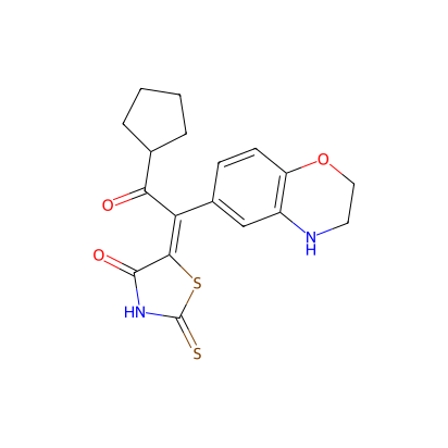 O=C1NC(=S)SC1=C(C(=O)C1CCCC1)c1ccc2c(c1)NCCO2